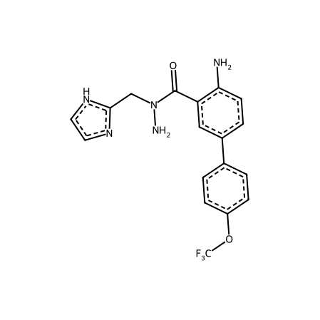 Nc1ccc(-c2ccc(OC(F)(F)F)cc2)cc1C(=O)N(N)Cc1ncc[nH]1